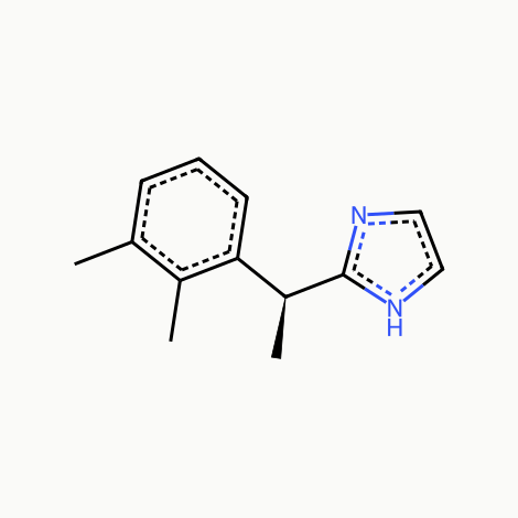 Cc1cccc([C@H](C)c2ncc[nH]2)c1C